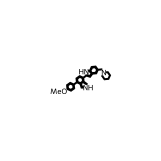 COc1ccc(-c2ccc(-c3cc4cc(CN5CCCCC5)ccc4[nH]3)c3c[nH]cc23)cc1